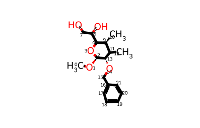 CO[C@H]1OC(C(O)CO)[C@@H](C)C(C)[C@@H]1OCc1ccccc1